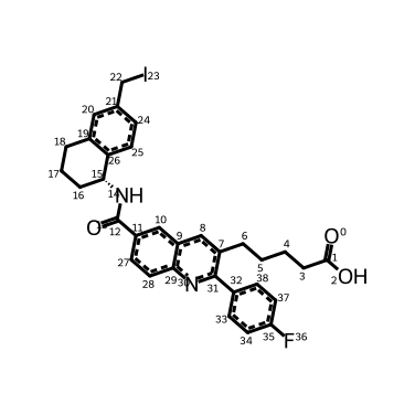 O=C(O)CCCCc1cc2cc(C(=O)N[C@@H]3CCCc4cc(CI)ccc43)ccc2nc1-c1ccc(F)cc1